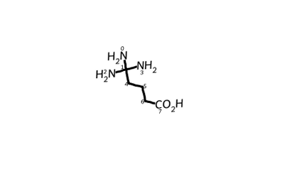 NC(N)(N)CCCC(=O)O